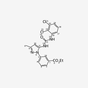 CCOC(=O)c1cccc(-n2nc(C)cc2NC(=O)Nc2cccc(Cl)c2Cl)c1